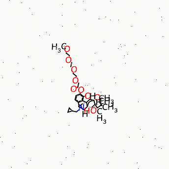 C=C(C)[C@@](C)(O)[C@H]1C[C@@]23CC[C@@]1(OC)[C@@H]1Oc4c(OC(=O)COCCOCCOCCOC)ccc5c4[C@@]12CCN(CC1CC1)[C@@H]3C5